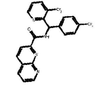 O=C(NC(c1ccc(C(F)(F)F)cc1)c1ncccc1C(F)(F)F)c1ccc2cccnc2n1